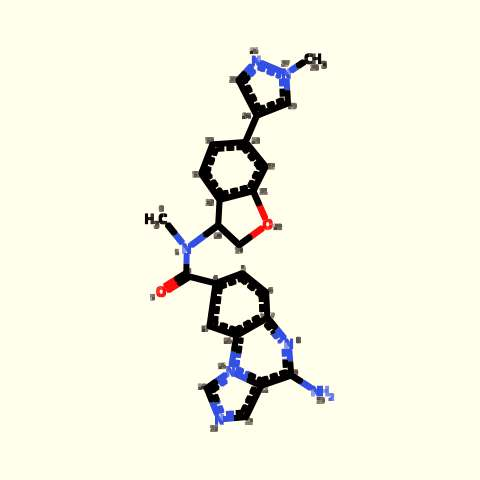 CN(C(=O)c1ccc2nc(N)c3cncn3c2c1)C1COc2cc(-c3cnn(C)c3)ccc21